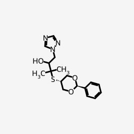 CC(C)(S[C@H]1CO[C@H](c2ccccc2)OC1)C(O)Cn1cncn1